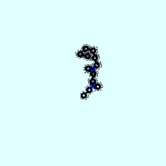 c1ccc(-c2ccc(-n3c4ccccc4c4cc(-c5ccc6c(c5)c5ccccc5n6-c5cccc(-c6ccc(-c7cccc(-c8cccc(-c9ccccc9-c9ccccc9)c8)c7)cc6)c5)ccc43)cc2)cc1